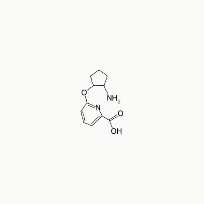 NC1CCCC1Oc1cccc(C(=O)O)n1